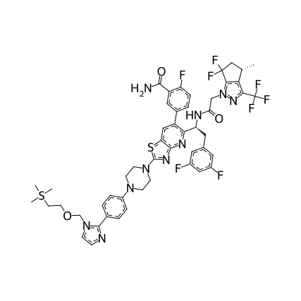 C[C@H]1CC(F)(F)c2c1c(C(F)(F)F)nn2CC(=O)N[C@@H](Cc1cc(F)cc(F)c1)c1nc2nc(N3CCN(c4ccc(-c5nccn5COCCS(C)(C)C)cc4)CC3)sc2cc1-c1ccc(F)c(C(N)=O)c1